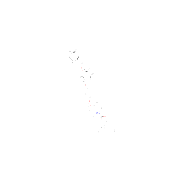 CC(C)(C)OC(=O)N1CCC(OCCCOc2cccc(OCc3ccccc3)c2)CC1